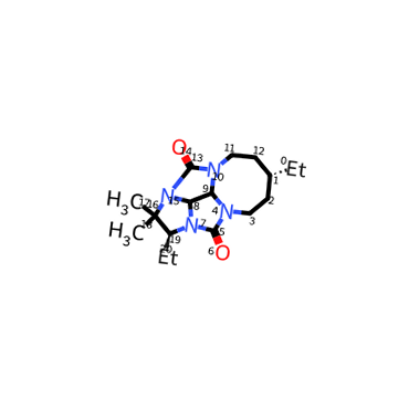 CC[C@@H]1CCN2C(=O)N3C4C2N(CC1)C(=O)N4C(C)(C)[C@@H]3CC